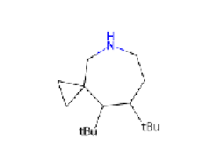 CC(C)(C)C1CCNCC2(CC2)C1C(C)(C)C